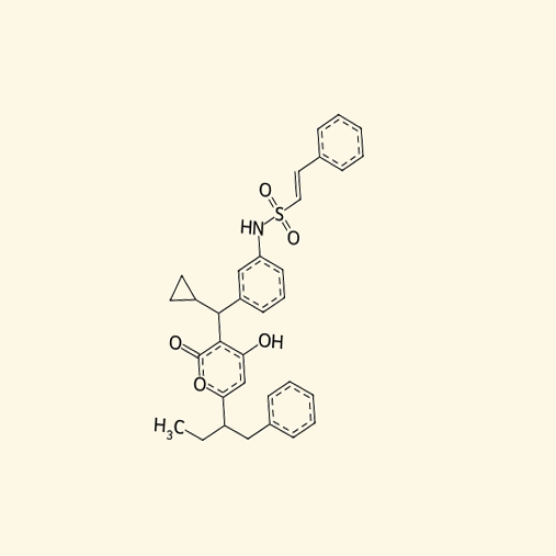 CCC(Cc1ccccc1)c1cc(O)c(C(c2cccc(NS(=O)(=O)/C=C/c3ccccc3)c2)C2CC2)c(=O)o1